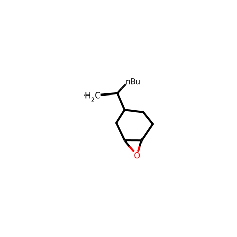 [CH2]C(CCCC)C1CCC2OC2C1